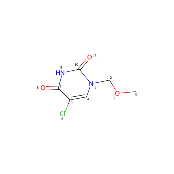 COCn1cc(Cl)c(=O)[nH]c1=O